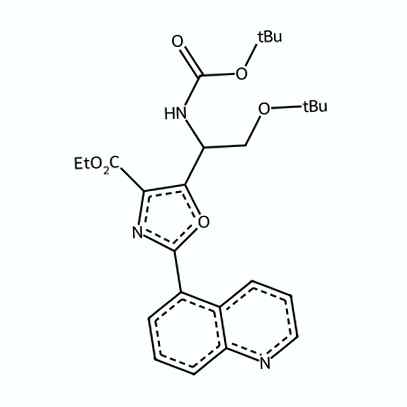 CCOC(=O)c1nc(-c2cccc3ncccc23)oc1C(COC(C)(C)C)NC(=O)OC(C)(C)C